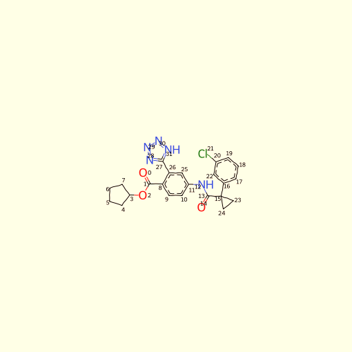 O=C(OC1CCCC1)c1ccc(NC(=O)C2(c3cccc(Cl)c3)CC2)cc1-c1nnn[nH]1